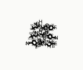 CC(C)(C(=O)Nc1ccc(C(F)(F)F)cn1)S(=O)(=O)c1ccc(C#N)cc1F.CC(C)(C)c1cc(NC(=O)C(C)(C)S(=O)(=O)c2ccc(C#N)cc2F)no1.CC(C)(C)c1cc(NC(=O)C(C)(C)S(=O)(=O)c2ccc(F)cc2)on1